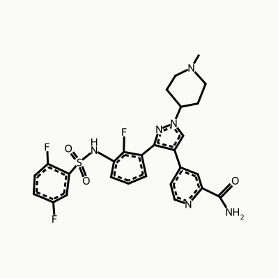 CN1CCC(n2cc(-c3ccnc(C(N)=O)c3)c(-c3cccc(NS(=O)(=O)c4cc(F)ccc4F)c3F)n2)CC1